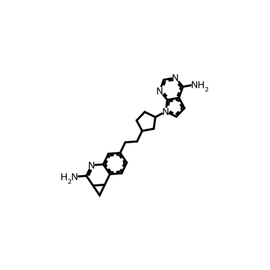 NC1=Nc2cc(CCC3CCC(n4ccc5c(N)ncnc54)C3)ccc2C2CC12